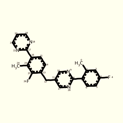 Cc1cc(F)ccc1-c1ncc(Cc2ccc(-c3ncccn3)c(C)c2F)cn1